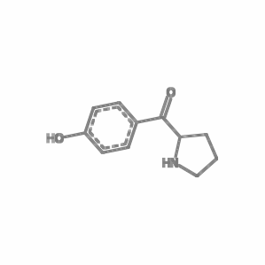 O=C(c1ccc(O)cc1)C1CCCN1